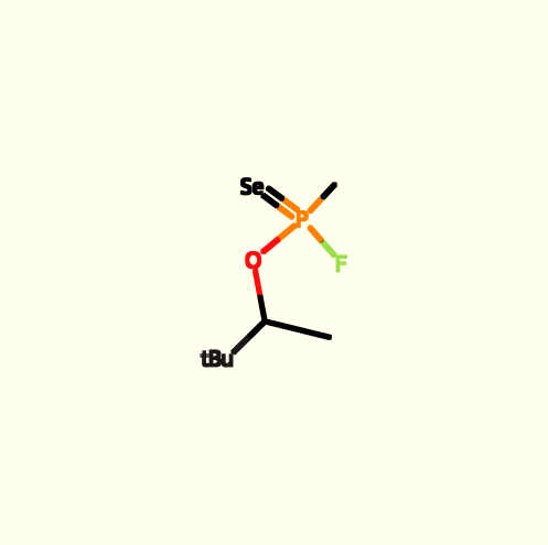 CC(OP(C)(F)=[Se])C(C)(C)C